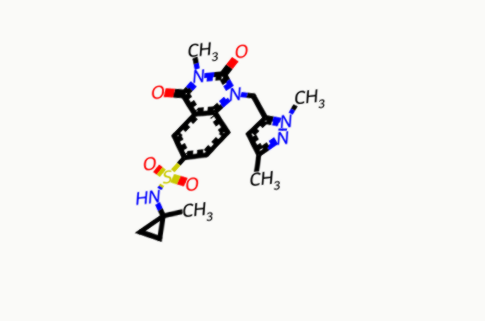 Cc1cc(Cn2c(=O)n(C)c(=O)c3cc(S(=O)(=O)NC4(C)CC4)ccc32)n(C)n1